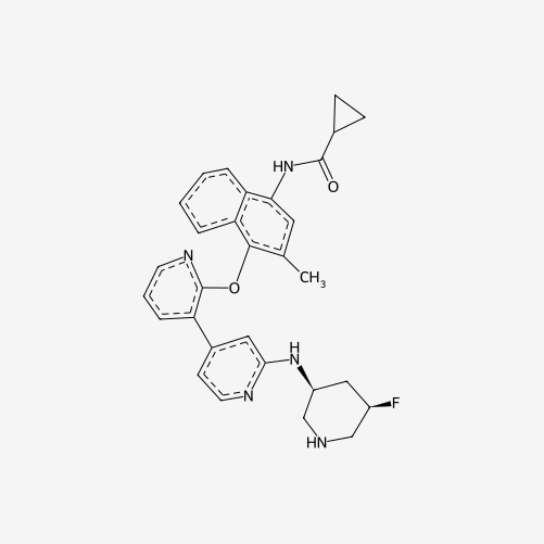 Cc1cc(NC(=O)C2CC2)c2ccccc2c1Oc1ncccc1-c1ccnc(N[C@@H]2CNC[C@H](F)C2)c1